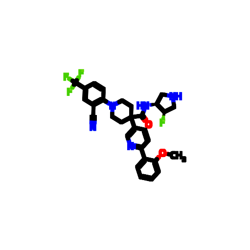 COc1ccccc1-c1ccc(C2(C(=O)N[C@@H]3CNC[C@@H]3F)CCN(c3ccc(C(F)(F)F)cc3C#N)CC2)cn1